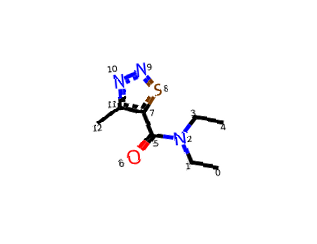 CCN(CC)C(=O)c1snnc1C